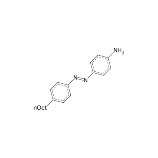 CCCCCCCCc1ccc(N=Nc2ccc(N)cc2)cc1